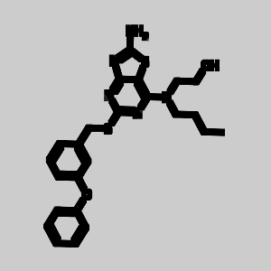 CCCCN(CCO)c1nc(SCc2cccc(Oc3ccccc3)c2)nc2nc(N)sc12